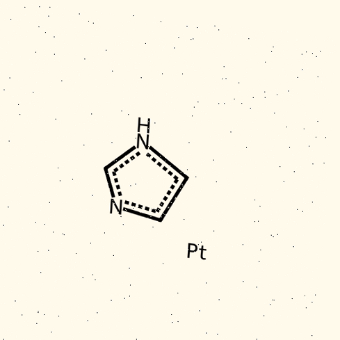 [Pt].c1c[nH]cn1